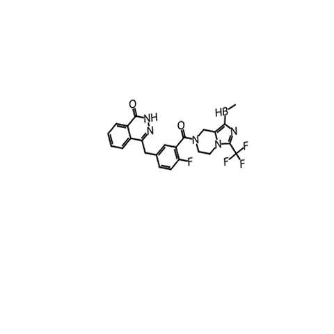 CBc1nc(C(F)(F)F)n2c1CN(C(=O)c1cc(Cc3n[nH]c(=O)c4ccccc34)ccc1F)CC2